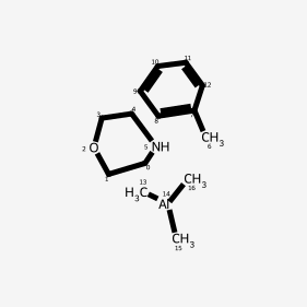 C1COCCN1.Cc1ccccc1.[CH3][Al]([CH3])[CH3]